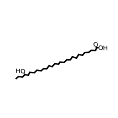 CCCC(O)CCCCCCCCCCCCCCCCCCCCCCCC(=O)O